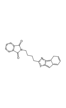 O=C1c2ccccc2C(=O)N1CCCCc1nc2c(s1)=CC1=CC=CCC=21